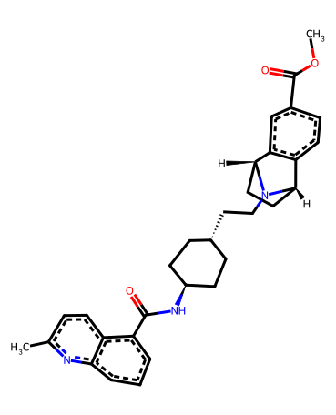 COC(=O)c1ccc2c(c1)[C@H]1CC[C@@H]2N1CC[C@H]1CC[C@H](NC(=O)c2cccc3nc(C)ccc23)CC1